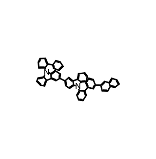 c1ccc(-c2ccccc2-n2c3ccccc3c3cc(-c4ccc5c(c4)c4ccccc4n5-c4ccccc4-c4cccc(-c5ccc6ccccc6c5)c4)ccc32)cc1